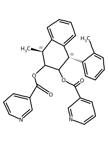 Cc1ccccc1[C@H]1c2ccccc2[C@H](C)C(OC(=O)c2cccnc2)C1OC(=O)c1cccnc1